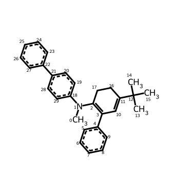 CN(C1=C(c2ccccc2)C=C(C(C)(C)C)CC1)c1ccc(-c2ccccc2)cc1